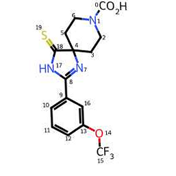 O=C(O)N1CCC2(CC1)N=C(c1cccc(OC(F)(F)F)c1)NC2=S